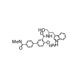 CCCOc1ccc(-c2ccc(C(=O)NC)cc2)cc1C(=O)NC(CO)Cc1c[nH]c2ccccc12